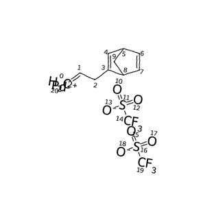 C=CCC1=CC2C=CC1C2.O=S(=O)([O-])C(F)(F)F.O=S(=O)([O-])C(F)(F)F.[Pd+2]